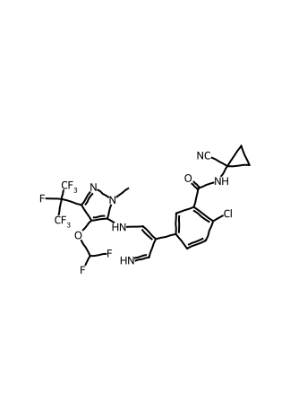 Cn1nc(C(F)(C(F)(F)F)C(F)(F)F)c(OC(F)F)c1N/C=C(\C=N)c1ccc(Cl)c(C(=O)NC2(C#N)CC2)c1